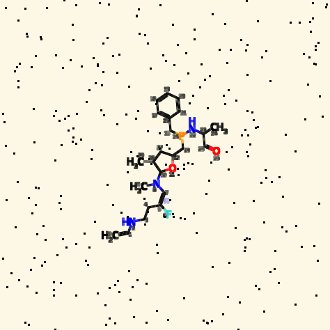 C=CNCC/C(F)=C\N(C)C1OC(CP(Cc2ccccc2)NC(C)C=O)CC1C